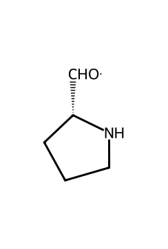 O=[C][C@H]1CCCN1